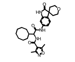 Cc1noc(C)c1C(=O)NC(C(=O)Nc1ccc2c(c1)NC(=O)C21CCOCC1)C1CCCCCCC1